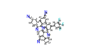 N#Cc1ccc(-c2nc3cc(C#N)c4c5ccccc5nc(-c5cccc(-c6cc(F)c(F)c(F)c6)c5)c4c3nc2-c2ccc(C#N)cc2)cc1